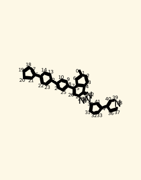 Cc1ccc2c(c1)c(-c1ccc(-c3ccc(-c4ccccc4)cc3)cc1)cc1nn(-c3cccc(-c4ccncc4)c3)nc12